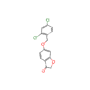 O=C1COc2cc(OCc3ccc(Cl)cc3Cl)ccc21